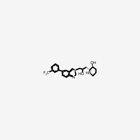 OC(C[C@H]1NCCC[C@@H]1O)CN1C=c2cc(-c3cccc(C(F)(F)F)c3)ccc2=NC1